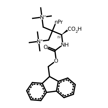 CCCC(C[N+](C)(C)C)(C[N+](C)(C)C)[C@H](NC(=O)OCC1c2ccccc2-c2ccccc21)C(=O)O